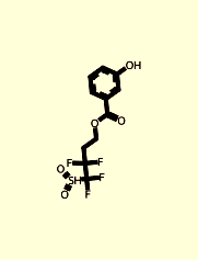 O=C(OCCC(F)(F)C(F)(F)[SH](=O)=O)c1cccc(O)c1